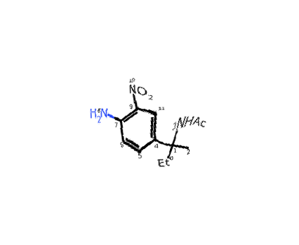 CCC(C)(NC(C)=O)c1ccc(N)c([N+](=O)[O-])c1